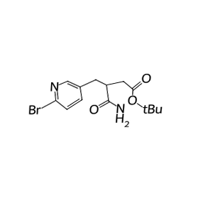 CC(C)(C)OC(=O)CC(Cc1ccc(Br)nc1)C(N)=O